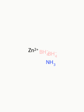 N.[BH4-].[BH4-].[Zn+2]